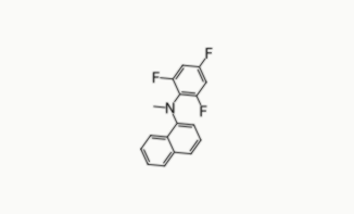 CN(c1c(F)cc(F)cc1F)c1cccc2ccccc12